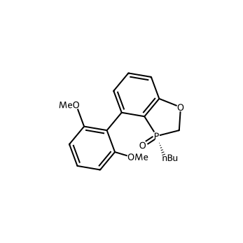 CCCC[P@@]1(=O)COc2cccc(-c3c(OC)cccc3OC)c21